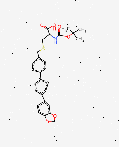 CC(C)(C)OC(=O)NC(CSCc1ccc(-c2ccc(-c3ccc4c(c3)OCO4)cc2)cc1)C(=O)O